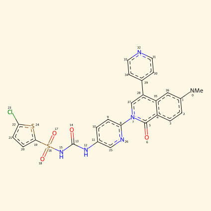 CNc1ccc2c(=O)n(-c3ccc(NC(=O)NS(=O)(=O)c4ccc(Cl)s4)cn3)cc(-c3ccncc3)c2c1